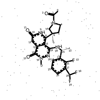 CC(=O)N1CC[C@@](C)(c2[nH]c(=O)cc3c(=O)n(C)nc(N[C@H](C)c4cccc(C(F)F)c4F)c23)C1